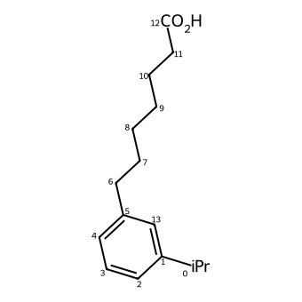 CC(C)c1cccc(CCCCCCC(=O)O)c1